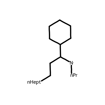 CCCCCCCCCC([N]CCC)C1CCCCC1